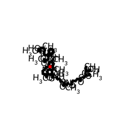 CCC(CO)OC(COC(=O)CCCC(=O)N[C@H](C)C(=O)OCCCNC(=O)[C@]1(O)C2N(C)c3cc(OC)c([C@H](C(=O)OC)c4[nH]c5ccccc5c4CN4C[C@@H](C)CC(O)(CC)C4)cc3[C@@]23CCN2CC=C[C@](CC)(C23)[C@H]1O)OC